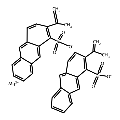 C=C(C)c1ccc2cc3ccccc3cc2c1S(=O)(=O)[O-].C=C(C)c1ccc2cc3ccccc3cc2c1S(=O)(=O)[O-].[Mg+2]